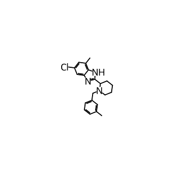 Cc1cccc(CN2CCCCC2c2nc3cc(Cl)cc(C)c3[nH]2)c1